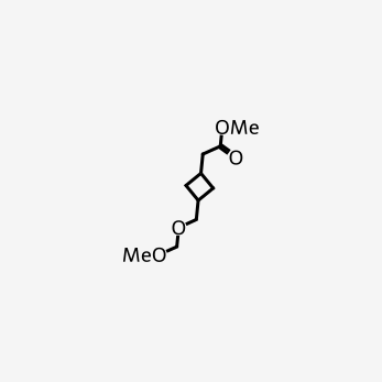 COCOCC1CC(CC(=O)OC)C1